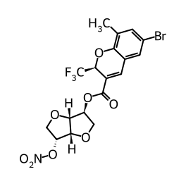 Cc1cc(Br)cc2c1O[C@H](C(F)(F)F)C(C(=O)O[C@H]1CO[C@H]3[C@@H]1OC[C@H]3O[N+](=O)[O-])=C2